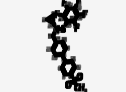 CS(=O)(=O)c1ccc(-c2ccc(CN(Sc3c(F)c(F)c(F)c(F)c3F)C3CC3)cc2)cc1